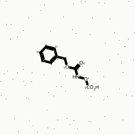 O=C(O)ONC(=O)OCc1ccccc1